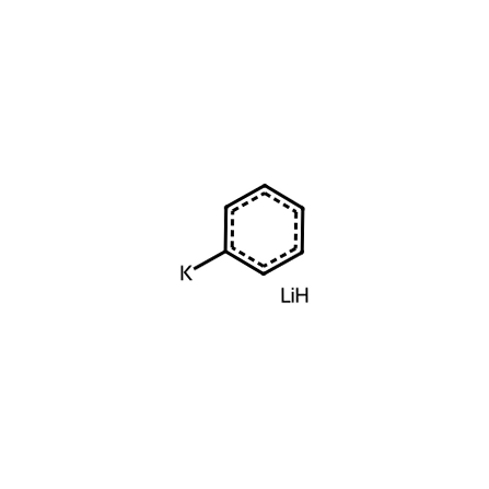 [K][c]1ccccc1.[LiH]